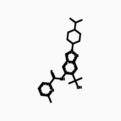 Cc1cccc(C(=S)Nc2cc3cn(C4CCC(C(C)C)CC4)nc3cc2C(C)(C)O)n1